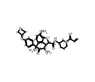 C=CC(=O)N1CCCC(NC(=O)C2Sc3c(N)ccc4c3C2C(N)C(=O)C4(N)c2ccc(OC3COC3)cc2)C1